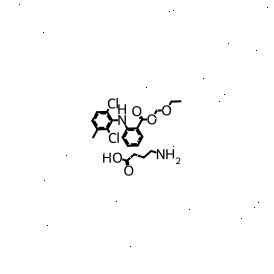 CCOCOC(=O)c1ccccc1Nc1c(Cl)ccc(C)c1Cl.NCCCC(=O)O